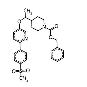 CC(Oc1ccc(-c2ccc(S(C)(=O)=O)cc2)nc1)C1CCN(C(=O)OCc2ccccc2)CC1